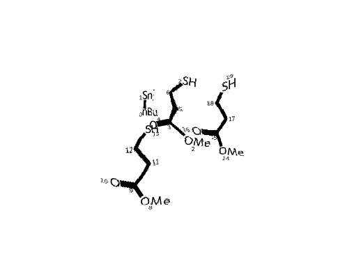 CCC[CH2][Sn].COC(=O)CCS.COC(=O)CCS.COC(=O)CCS